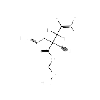 C=CCC(C#N)(C(=O)OCOC)C(F)(F)C(F)=C(F)F